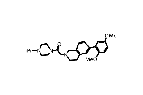 COc1ccc(OC)c(-c2ccc3c(c2)CCN(CC(=O)N2CCN(C(C)C)CC2)C3)c1